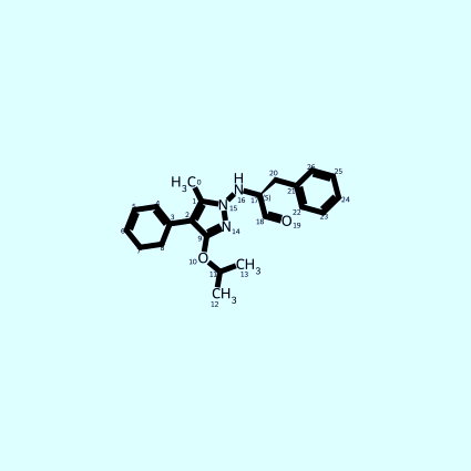 Cc1c(C2=CC=CCC2)c(OC(C)C)nn1N[C@H](C=O)Cc1ccccc1